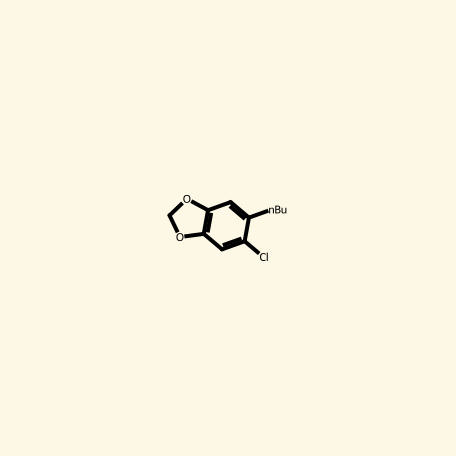 C[CH]CCc1cc2c(cc1Cl)OCO2